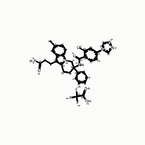 Cc1ccc2c(c1)c(CCC(N)=O)c1n2CC(NC(=O)c2ccc(-n3cnnc3)cc2Cl)(c2ccccc2)CC1.O=C(O)C(F)(F)F